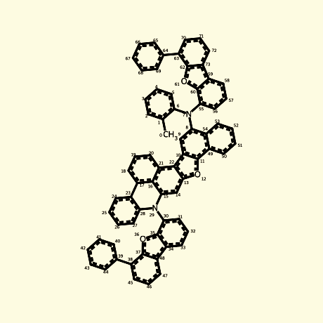 Cc1ccccc1N(c1cc2c(oc3cc4c5c(cccc5c32)-c2ccccc2N4c2cccc3c2oc2c(-c4ccccc4)cccc23)c2ccccc12)c1cccc2c1oc1c(-c3ccccc3)cccc12